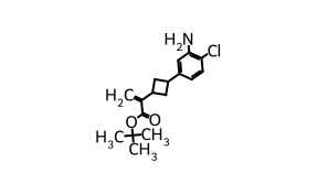 C=C(C(=O)OC(C)(C)C)C1CC(c2ccc(Cl)c(N)c2)C1